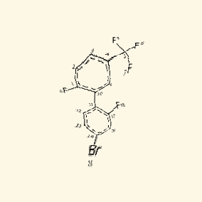 Fc1[c]cc(C(F)(F)F)cc1-c1ccc(Br)cc1F